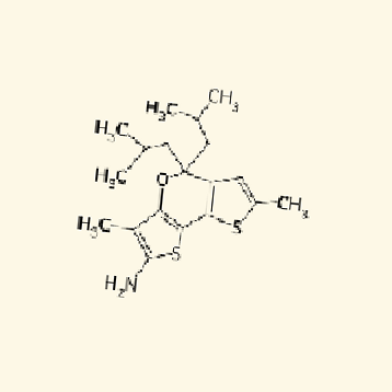 Cc1cc2c(s1)-c1sc(N)c(C)c1OC2(CC(C)C)CC(C)C